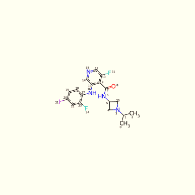 CC(C)N1CC(NC(=O)c2c(F)cncc2Nc2ccc(I)cc2F)C1